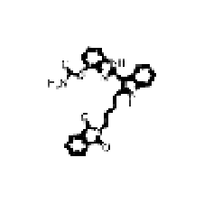 NC(=O)Oc1cccc2[nH]c(-c3c(CCCCN4C(=O)c5ccccc5C4=O)[nH]c4ccccc34)nc12